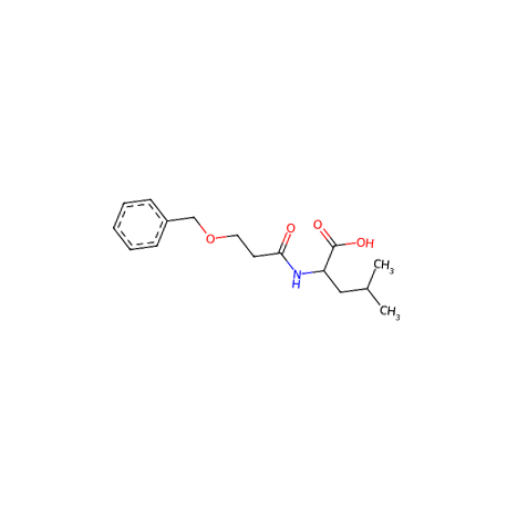 CC(C)CC(NC(=O)CCOCc1ccccc1)C(=O)O